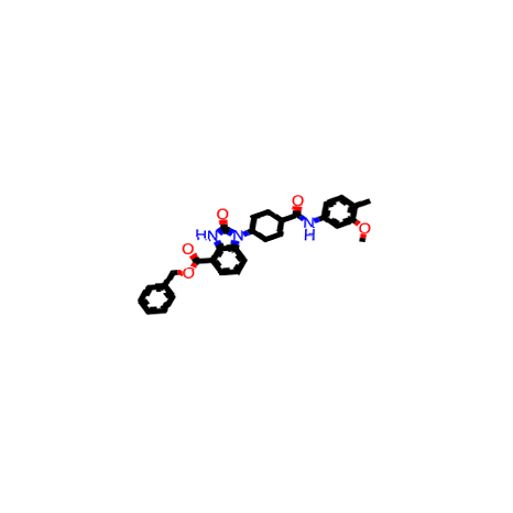 COc1cc(NC(=O)C2CCC(n3c(=O)[nH]c4c(C(=O)OCc5ccccc5)cccc43)CC2)ccc1C